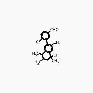 Cc1cc2c(cc1-c1cc(C=O)ccc1Cl)C(C)C(C)CC2(C)C